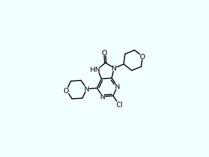 O=c1[nH]c2c(N3CCOCC3)nc(Cl)nc2n1C1CCOCC1